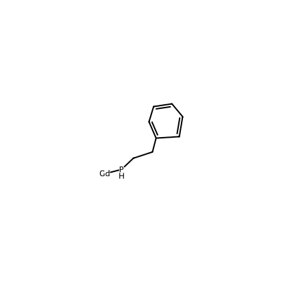 [Gd][PH]CCc1ccccc1